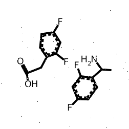 CC(N)c1ccc(F)cc1F.O=C(O)Cc1ccc(F)cc1F